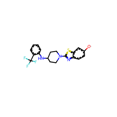 [O]c1ccc2nc(N3CCC(Nc4ccccc4C(F)(F)F)CC3)sc2c1